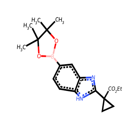 CCOC(=O)C1(c2nc3cc(B4OC(C)(C)C(C)(C)O4)ccc3[nH]2)CC1